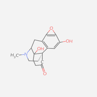 CN1CC[C@]23CC(=O)CCC2(O)C1Cc1c3cc(O)c2c1O2